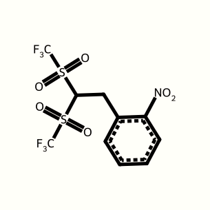 O=[N+]([O-])c1ccccc1CC(S(=O)(=O)C(F)(F)F)S(=O)(=O)C(F)(F)F